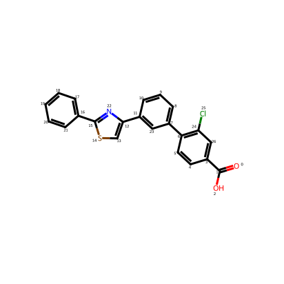 O=C(O)c1ccc(-c2cccc(-c3csc(-c4ccccc4)n3)c2)c(Cl)c1